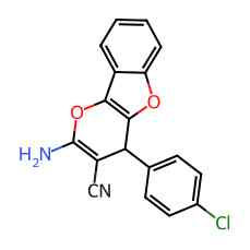 N#CC1=C(N)Oc2c(oc3ccccc23)C1c1ccc(Cl)cc1